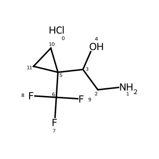 Cl.NCC(O)C1(C(F)(F)F)CC1